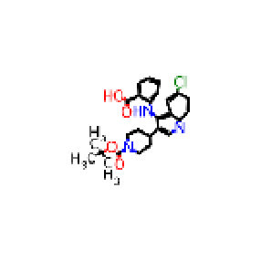 CC(C)(C)OC(=O)N1CCC(c2cnc3ccc(Cl)cc3c2Nc2ccccc2C(=O)O)CC1